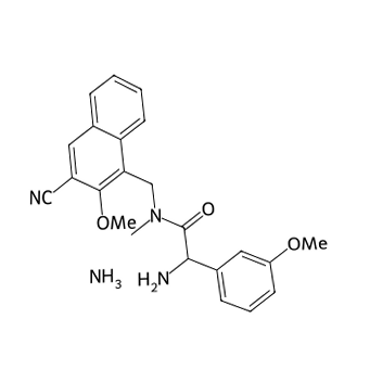 COc1cccc(C(N)C(=O)N(C)Cc2c(OC)c(C#N)cc3ccccc23)c1.N